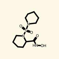 O=C(NO)C1CCCCN1S(=O)(=O)N1CCCCC1